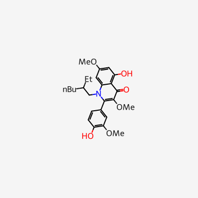 CCCCC(CC)Cn1c(-c2ccc(O)c(OC)c2)c(OC)c(=O)c2c(O)cc(OC)cc21